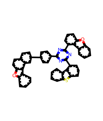 c1ccc2c(c1)oc1cccc(-c3nc(-c4ccc(-c5ccc6ccc7oc8ccccc8c7c6c5)cc4)nc(-c4cccc5sc6ccccc6c45)n3)c12